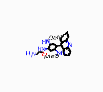 CONc1cc(-c2c3ccccc3nc3ccccc23)c(NOC)cc1NC(=O)CCN